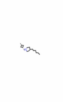 CCCCCCC1CCN(C[C@H]2C[C@H](C)C2)CC1